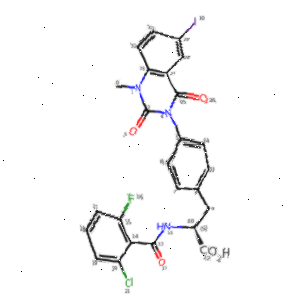 Cn1c(=O)n(-c2ccc(C[C@H](NC(=O)c3c(F)cccc3Cl)C(=O)O)cc2)c(=O)c2cc(I)ccc21